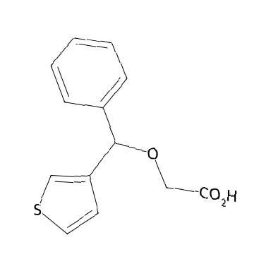 O=C(O)COC(c1ccccc1)c1ccsc1